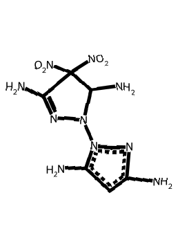 NC1=NN(n2nc(N)cc2N)C(N)C1([N+](=O)[O-])[N+](=O)[O-]